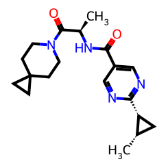 C[C@@H](NC(=O)c1cnc([C@@H]2C[C@@H]2C)nc1)C(=O)N1CCC2(CC1)CC2